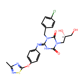 Cc1nsc(Oc2ccc(/N=c3\[nH]c(=O)n(C[C@H](O)CO)c(=O)n3Cc3ccc(Cl)cc3)cc2)n1